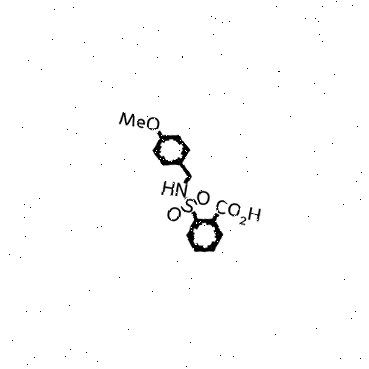 COc1ccc(CNS(=O)(=O)c2ccccc2C(=O)O)cc1